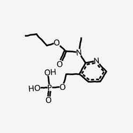 CCCOC(=O)N(C)c1ncccc1COP(=O)(O)O